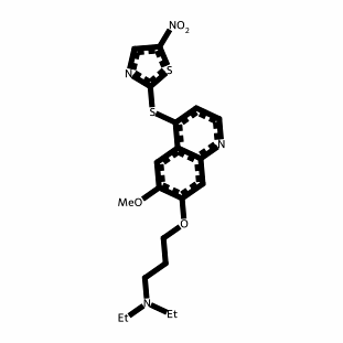 CCN(CC)CCCOc1cc2nccc(Sc3ncc([N+](=O)[O-])s3)c2cc1OC